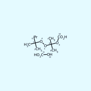 CC(C)C(C)(C)OOC(C)(C)OC(=O)O.O=C(O)O